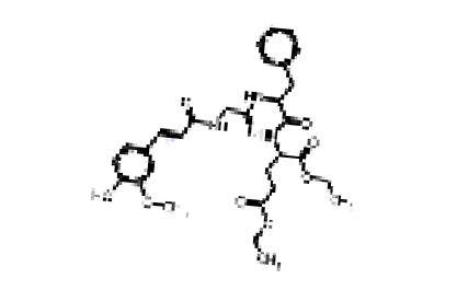 CCOC(=O)CCC(NC(=O)C(Cc1ccccc1)NC(=O)CNC(=O)/C=C/c1ccc(O)c(OC)c1)C(=O)OCC